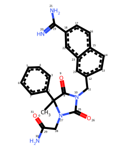 CC1(c2ccccc2)C(=O)N(Cc2ccc3ccc(C(=N)N)cc3c2)C(=O)N1CC(N)=O